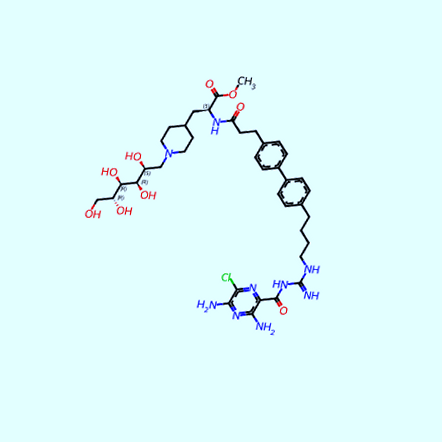 COC(=O)[C@H](CC1CCN(C[C@H](O)[C@@H](O)[C@H](O)[C@H](O)CO)CC1)NC(=O)CCc1ccc(-c2ccc(CCCCNC(=N)NC(=O)c3nc(Cl)c(N)nc3N)cc2)cc1